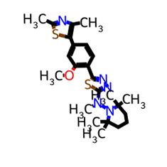 COc1cc(-c2sc(C)nc2C)ccc1-c1nnc(N(C)N2C(C)(C)CCCC2(C)C)s1